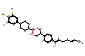 C/C=C/CC/C(F)=C(\F)c1ccc(C2COC(C3CCC(c4cc(F)c(F)c(F)c4)CC3)OC2)cc1